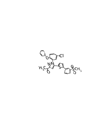 CC(=O)c1cc(-c2ccc(-c3cccc(S(C)(=O)=O)c3)s2)n(-c2cc(Cl)ccc2Oc2ccccc2)n1